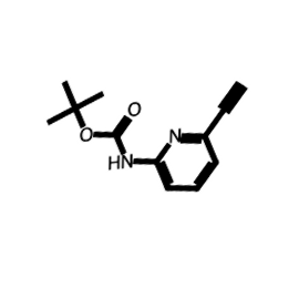 C#Cc1cccc(NC(=O)OC(C)(C)C)n1